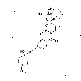 C[C@@H](c1ccc(C#CC2(O)CCN(C)CC2)cc1)N1CCC(CC(C)(C)O)(c2ccccc2)OC1=O